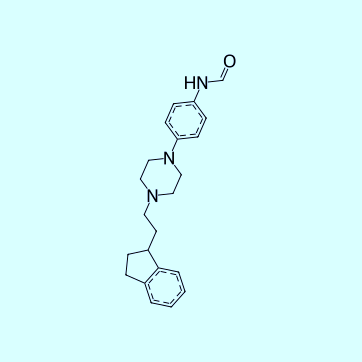 O=CNc1ccc(N2CCN(CCC3CCc4ccccc43)CC2)cc1